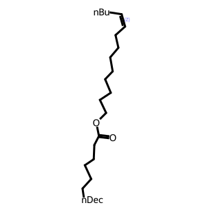 CCCC/C=C\CCCCCCCCOC(=O)CCCCCCCCCCCCCCC